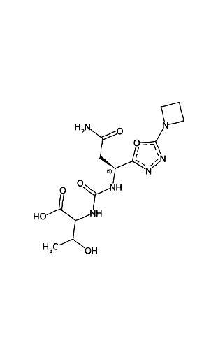 CC(O)C(NC(=O)N[C@@H](CC(N)=O)c1nnc(N2CCC2)o1)C(=O)O